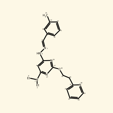 CCN(CC)c1cc(NN=Cc2cccc(C)c2)nc(OCCc2ccccn2)n1